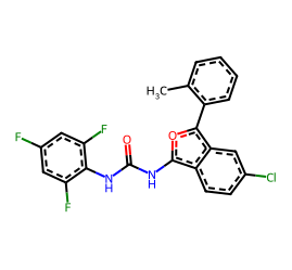 Cc1ccccc1-c1oc(NC(=O)Nc2c(F)cc(F)cc2F)c2ccc(Cl)cc12